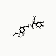 CCOc1ccc(CCNC(=O)C(=NSC)c2ccc(Cl)c(Cl)c2)cc1OC